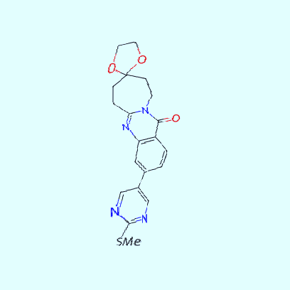 CSc1ncc(-c2ccc3c(=O)n4c(nc3c2)CCC2(CC4)OCCO2)cn1